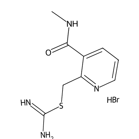 Br.CNC(=O)c1cccnc1CSC(=N)N